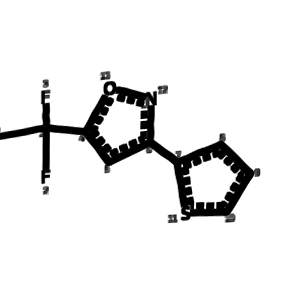 CC(F)(F)c1cc(-c2cccs2)no1